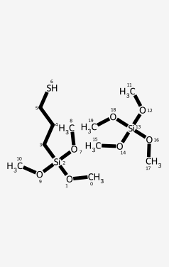 CO[Si](CCCS)(OC)OC.CO[Si](OC)(OC)OC